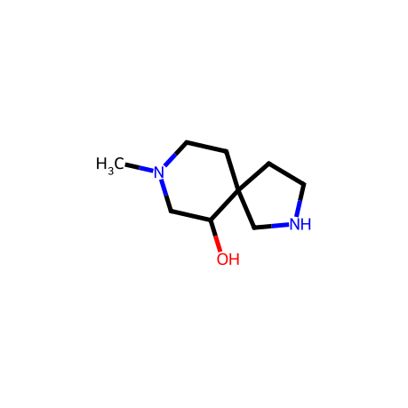 CN1CCC2(CCNC2)C(O)C1